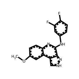 COc1ccc2nc(Nc3ccc(F)c(F)c3)c3n[nH]cc3c2c1